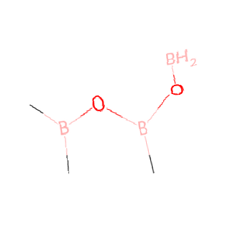 BOB(C)OB(C)C